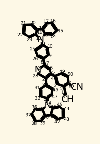 C#Cc1cc(-c2cc(-c3ccc(-n4c5ccccc5c5ccccc54)cc3)ncc2-c2ccc(-n3c4ccccc4c4ccccc43)cc2)ccc1C#N